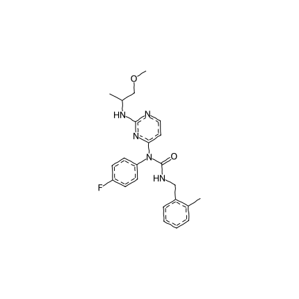 COCC(C)Nc1nccc(N(C(=O)NCc2ccccc2C)c2ccc(F)cc2)n1